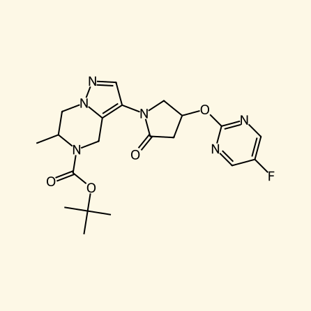 CC1Cn2ncc(N3CC(Oc4ncc(F)cn4)CC3=O)c2CN1C(=O)OC(C)(C)C